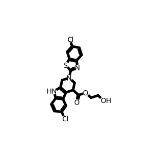 O=C(OCCO)C1CN(c2nc3ccc(Cl)cc3s2)Cc2[nH]c3ccc(Cl)cc3c21